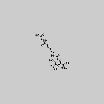 CNC(O)C(OCC(=O)NCCCCCC(=O)NCC(=O)O)OC(CO)C(C)O